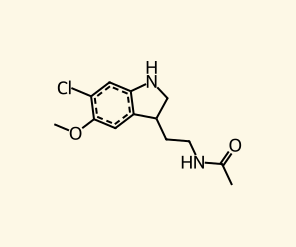 COc1cc2c(cc1Cl)NCC2CCNC(C)=O